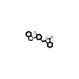 O=C1OC(=Cc2ccc(F)c(N3CCc4ccccc43)c2)c2ccccc21